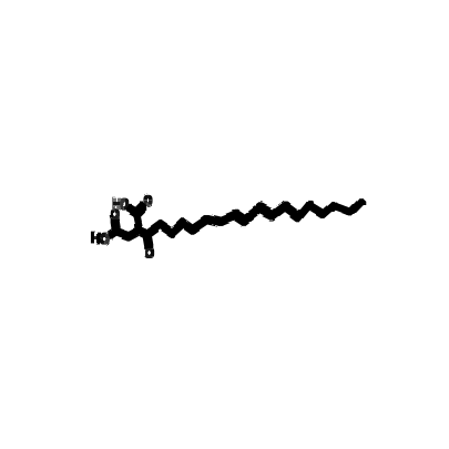 CCCCCCCCCCCCCCCCCC(=O)C(CC(=O)O)C(=O)O